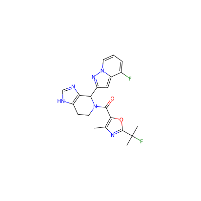 Cc1nc(C(C)(C)F)oc1C(=O)N1CCc2[nH]cnc2C1c1cc2c(F)cccn2n1